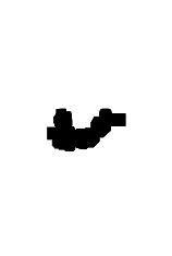 Cc1ccc([C@@H](O)CN(C(=O)OC(C)(C)C)[C@H]2CCc3ccc(-c4ccc(C(=O)O)cc4)cc3C2)cc1